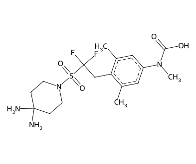 Cc1cc(N(C)C(=O)O)cc(C)c1CC(F)(F)S(=O)(=O)N1CCC(N)(N)CC1